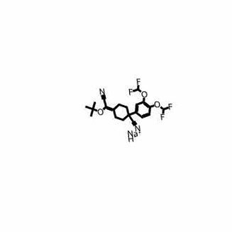 CC(C)(C)OC(C#N)=C1CCC(C#N)(c2ccc(OC(F)F)c(OC(F)F)c2)CC1.[H-].[Na+]